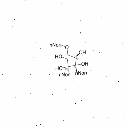 CCCCCCCCCOC[C@@H](O)[C@@](O)(CCCCCCCCC)[C@@](O)(CO)CCCCCCCCC